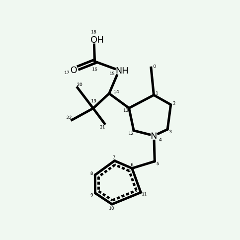 CC1CCN(Cc2ccccc2)CC1C(NC(=O)O)C(C)(C)C